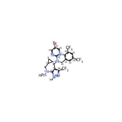 CCCN(CC1CC1)c1c(CN(Cc2cc(C(F)(F)F)cc(C(F)(F)F)c2)c2ncc(Br)cn2)c(C(F)(F)F)nn1C